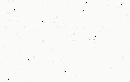 C=CC(C)CC(C)(C)F